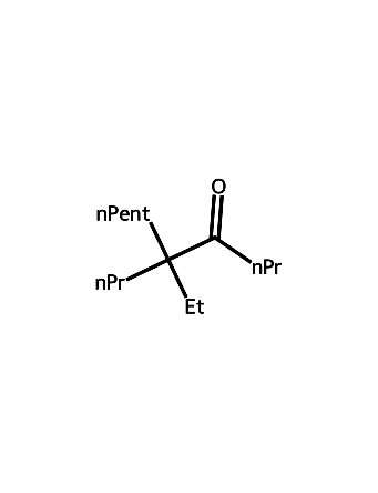 CCCCCC(CC)(CCC)C(=O)CCC